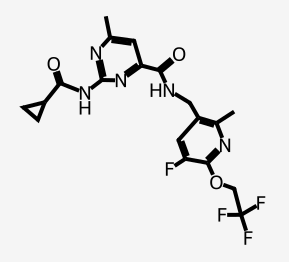 Cc1cc(C(=O)NCc2cc(F)c(OCC(F)(F)F)nc2C)nc(NC(=O)C2CC2)n1